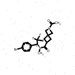 CC(=O)N1CC2(CC(C(=O)N(C)[C@@H](c3ccc(Br)cc3)C(F)(F)F)C2)C1